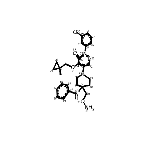 CC1(COc2c(N3CCC(CON)(Nc4ccccc4)CC3)cnn(-c3cccc(Cl)c3)c2=O)CC1